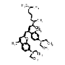 CCN(CC)c1ccc(C(/C=C2/C=C(C)c3ccc(N(CC)CC)cc3O2)=C\C(O)N(C)CCCN(C)C)c(C)c1